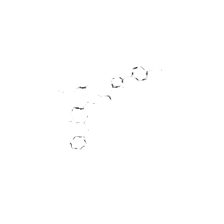 N#Cc1ccc(-c2nc(C(=O)NCCC3=CCNC(Cc4ccc(F)cc4)C3)no2)cc1.O=C(O)/C=C/C(=O)O